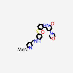 CNc1ccc(CNc2ccc3c(c2)Sc2cccc(-c4cc(N5CCOCC5)cc(=O)[nH]4)c2O3)cn1